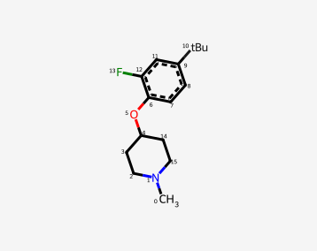 CN1CCC(Oc2ccc(C(C)(C)C)cc2F)CC1